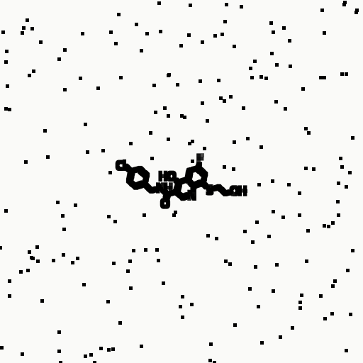 O=C(NCc1ccc(Cl)cc1)c1cnc2c(SCCO)cc(F)cc2c1O